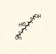 OCCSCCCC(O)CCCSCCO